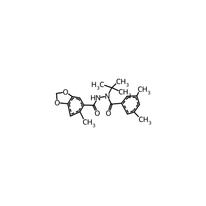 Cc1cc(C)cc(C(=O)N(NC(=O)c2cc3c(cc2C)OCO3)C(C)(C)C)c1